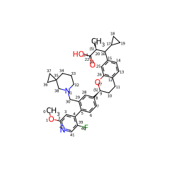 COc1cc(-c2ccc([C@@H]3CCc4ccc(C(C5CC5)[C@H](C)C(=O)O)cc4O3)cc2CN2CCCC3(CC3)C2)c(F)cn1